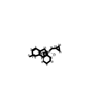 Cc1ccc2c(c1)[C@@]13CCCCC1(O)C(C2)[N@@+](C)(CC1CC1)CC3